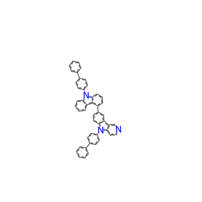 c1ccc(-c2ccc(-n3c4ccncc4c4cc(-c5cccc6c5c5ccccc5n6-c5ccc(-c6ccccc6)cc5)ccc43)cc2)cc1